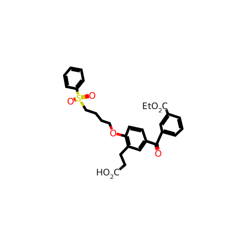 CCOC(=O)c1cccc(C(=O)c2ccc(OCCCCS(=O)(=O)c3ccccc3)c(CCC(=O)O)c2)c1